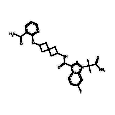 CC(C)(C(N)=O)n1nc(C(=O)NC2CC3(C2)CC(Oc2ncccc2C(N)=O)C3)c2ccc(F)cc21